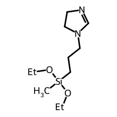 CCO[Si](C)(CCCN1C=NCC1)OCC